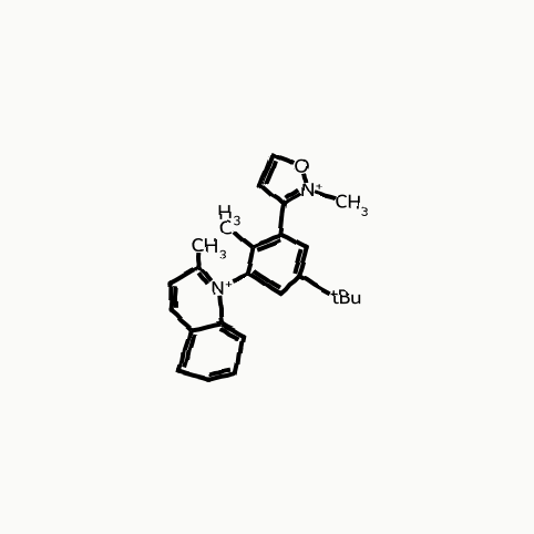 Cc1c(-c2cco[n+]2C)cc(C(C)(C)C)cc1-[n+]1c(C)ccc2ccccc21